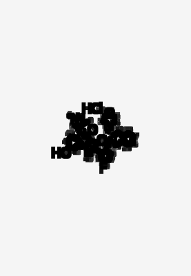 Cc1nn(C)cc1N(C(=O)c1cc(-c2cc(F)ccc2C(=O)N2Cc3ccccc3C[C@H]2CN2CCOCC2)n(C)c1C)c1ccc(O)cc1.Cl